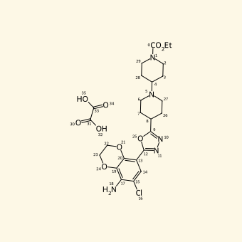 CCOC(=O)N1CCC(N2CCC(c3nnc(-c4cc(Cl)c(N)c5c4OCCO5)o3)CC2)CC1.O=C(O)C(=O)O